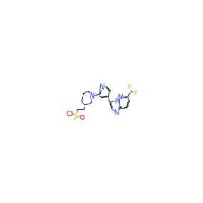 CS(=O)(=O)CCC1CCCN(c2cc(-c3cnc4ccc(C(F)F)nn34)ccn2)C1